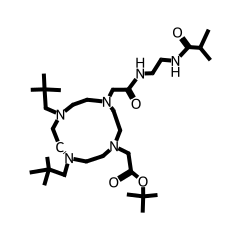 CC(C)C(=O)NCCNC(=O)CN1CCN(CC(=O)OC(C)(C)C)CCN(CC(C)(C)C)CCN(CC(C)(C)C)CC1